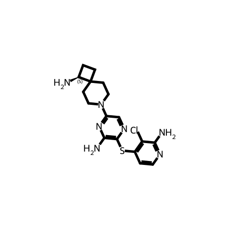 Nc1nc(N2CCC3(CC[C@@H]3N)CC2)cnc1Sc1ccnc(N)c1Cl